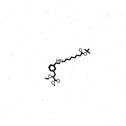 CCOC(Cc1cccc(CCNCCCCCCCC(=O)OC(C)(C)C)c1)C(=O)OC